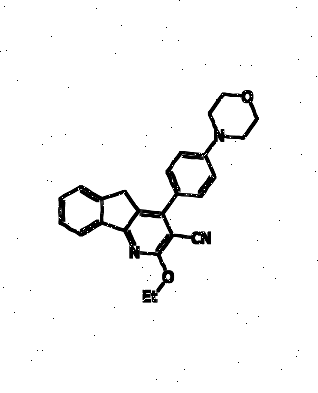 CCOc1nc2c(c(-c3ccc(N4CCOCC4)cc3)c1C#N)Cc1ccccc1-2